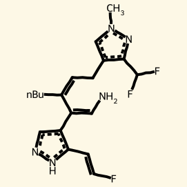 CCCCC(=C/Cc1cn(C)nc1C(F)F)/C(=C\N)c1cn[nH]c1/C=C/F